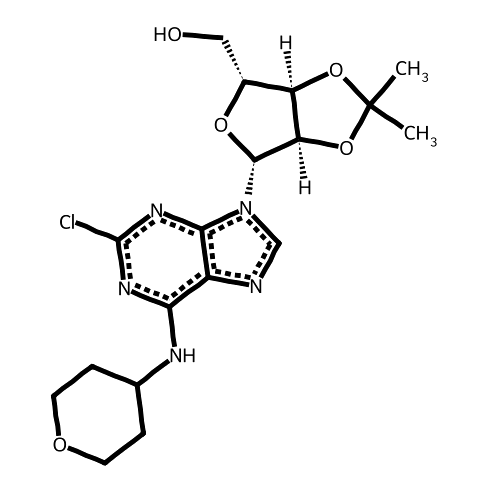 CC1(C)O[C@@H]2[C@H](O1)[C@@H](CO)O[C@H]2n1cnc2c(NC3CCOCC3)nc(Cl)nc21